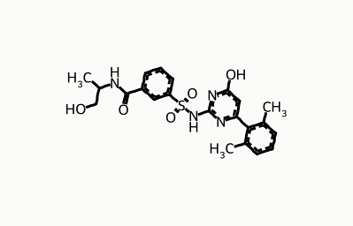 Cc1cccc(C)c1-c1cc(O)nc(NS(=O)(=O)c2cccc(C(=O)NC(C)CO)c2)n1